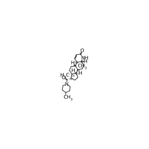 CC1CCN(C(=O)[C@H]2CC[C@H]3[C@@H]4CC[C@H]5NC(=O)C=C[C@]5(C)[C@H]4CC[C@]23C)CC1